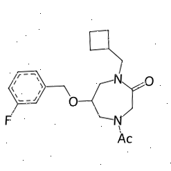 CC(=O)N1CC(=O)N(CC2CCC2)CC(OCc2cccc(F)c2)C1